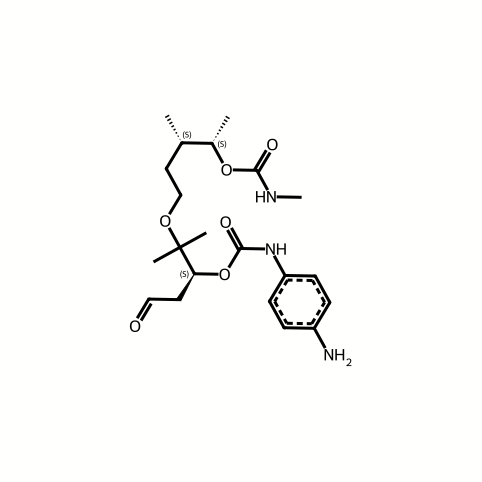 CNC(=O)O[C@@H](C)[C@@H](C)CCOC(C)(C)[C@H](CC=O)OC(=O)Nc1ccc(N)cc1